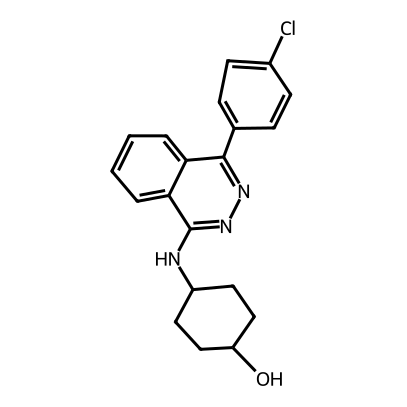 OC1CCC(Nc2nnc(-c3ccc(Cl)cc3)c3ccccc23)CC1